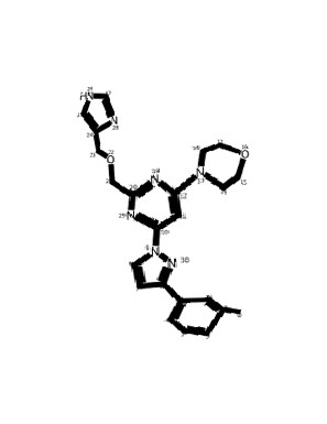 Cc1cccc(-c2ccn(-c3cc(N4CCOCC4)nc(COCc4c[nH]cn4)n3)n2)c1